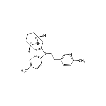 Cc1ccc2c(c1)c1c(n2CCc2ccc(C)nc2)C[C@H]2CCC[C@@H]1N2